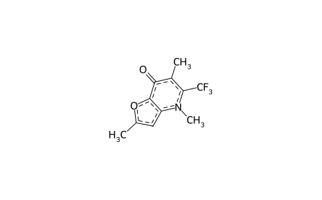 Cc1cc2c(o1)c(=O)c(C)c(C(F)(F)F)n2C